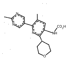 Cc1ncc(-c2nc(C3CCOCC3)c(NC(=O)O)cc2C)cn1